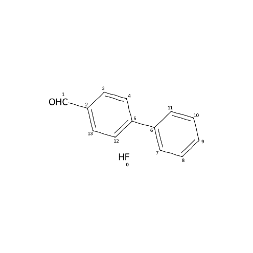 F.O=Cc1ccc(-c2ccccc2)cc1